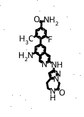 Cc1cc(C(N)=O)cc(F)c1-c1cc(N)c2cnc(Nc3cc4n(n3)CC(=O)NCC4)cc2c1